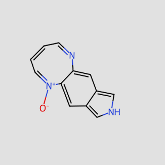 [O-][N+]1=CC=CC=Nc2cc3c[nH]cc3cc21